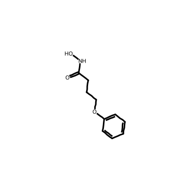 O=C(CCCOc1ccccc1)NO